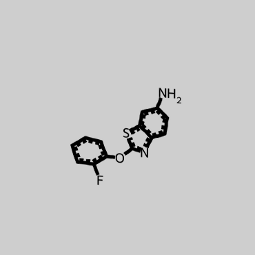 Nc1ccc2nc(Oc3ccccc3F)sc2c1